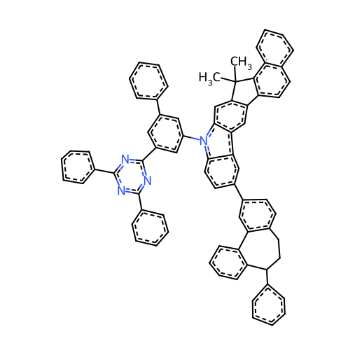 CC1(C)c2cc3c(cc2-c2ccc4ccccc4c21)c1cc(-c2ccc4c(c2)-c2ccccc2C(c2ccccc2)CC4)ccc1n3-c1cc(-c2ccccc2)cc(-c2nc(-c3ccccc3)nc(-c3ccccc3)n2)c1